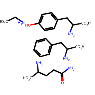 NC(=O)CCC(N)C(=O)O.NC(Cc1ccc(O)cc1)C(=O)O.NC(Cc1ccccc1)C(=O)O.NCC(=O)O